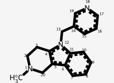 CN1CCc2c(c3ccccc3n2Cc2cccnc2)C1